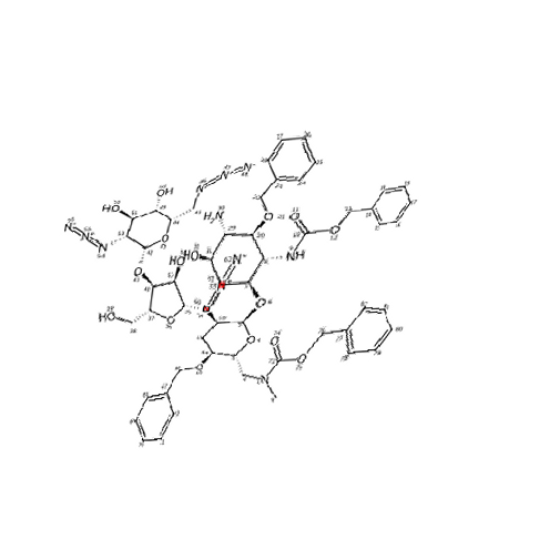 CN(C[C@H]1O[C@H](O[C@@H]2[C@@H](NC(=O)OCc3ccccc3)[C@H](OCc3ccccc3)[C@@H](N)[C@H](O)[C@H]2O[C@@H]2O[C@H](CO)[C@@H](O[C@H]3O[C@@H](CN=[N+]=[N-])[C@@H](O)[C@H](O)[C@H]3N=[N+]=[N-])[C@H]2O)[C@H](N=[N+]=[N-])C[C@@H]1OCc1ccccc1)C(=O)OCc1ccccc1